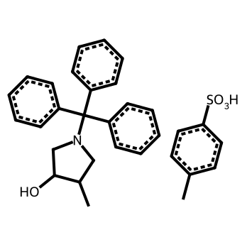 CC1CN(C(c2ccccc2)(c2ccccc2)c2ccccc2)CC1O.Cc1ccc(S(=O)(=O)O)cc1